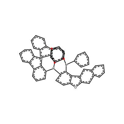 c1ccc(N(c2ccccc2)c2c(N(c3cccc4c3sc3ccccc34)c3cccc4c3sc3ccccc34)ccc3oc4cc5ccccc5cc4c23)cc1